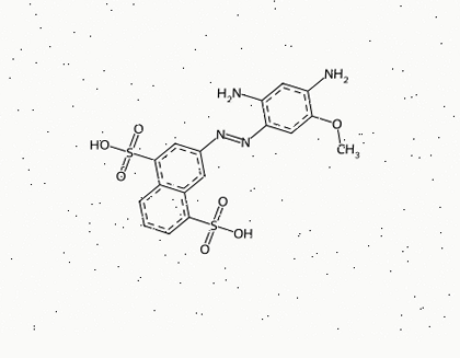 COc1cc(N=Nc2cc(S(=O)(=O)O)c3cccc(S(=O)(=O)O)c3c2)c(N)cc1N